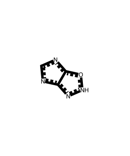 c1nc2n[nH]oc-2n1